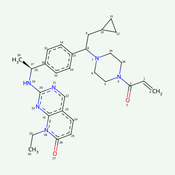 C=CC(=O)N1CCN(C(CC2CC2)c2ccc([C@H](C)Nc3ncc4ccc(=O)n(CC)c4n3)cc2)CC1